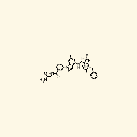 Cc1cc(NCC(O)(CN(Cc2ccccc2)C(C)C)C(F)(F)F)c2cnn(-c3cccc(C(=O)NCC(N)=O)c3)c2c1